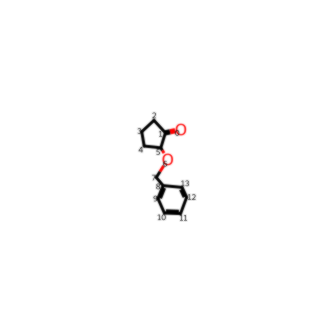 O=C1CCCC1OCc1ccccc1